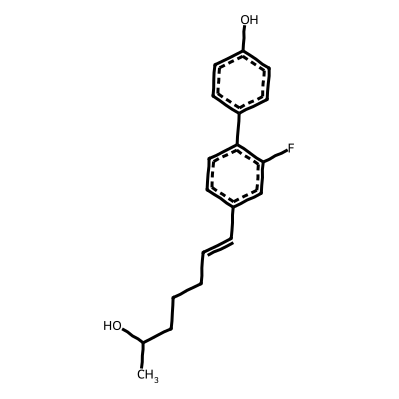 CC(O)CCC/C=C/c1ccc(-c2ccc(O)cc2)c(F)c1